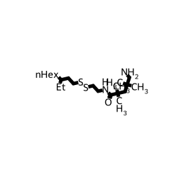 CCCCCCC(CC)CCSSCCNC(=O)C(C)(C)CC(C)(C)CN